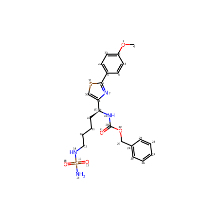 COc1ccc(-c2nc([C@H](CCCCNS(N)(=O)=O)NC(=O)OCc3ccccc3)cs2)cc1